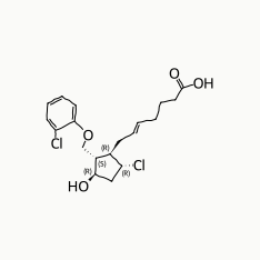 O=C(O)CCCC=CC[C@@H]1[C@@H](COc2ccccc2Cl)[C@H](O)C[C@H]1Cl